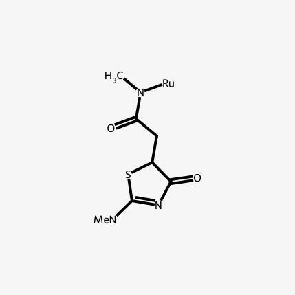 CNC1=NC(=O)C(CC(=O)[N](C)[Ru])S1